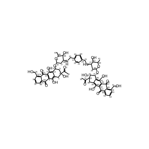 CC(=O)[C@]1(O)Cc2c(O)c3c(c(O)c2C(OC2CC(NCc4ccc(CNC5CC(O[C@H]6C[C@](O)(C(C)=O)Cc7c(O)c8c(c(O)c76)C(=O)c6c(CO)cccc6C8=O)OC(C)C5O)cc4)C(O)C(C)O2)C1)C(=O)c1c(CO)cccc1C3=O